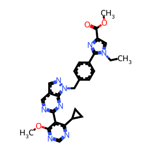 CCn1cc(C(=O)OC)nc1-c1ccc(Cn2ncc3cnc(-c4c(OC)ncnc4C4CC4)nc32)cc1